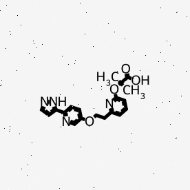 CC(C)(Oc1cccc(CCOc2ccc(-c3ccn[nH]3)nc2)n1)C(=O)O